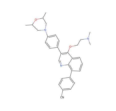 CC1CN(c2ccc(-c3cnc4c(-c5ccc(C#N)cc5)cccc4c3OCCN(C)C)cc2)CC(C)O1